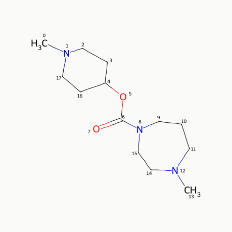 CN1CCC(OC(=O)N2CCCN(C)CC2)CC1